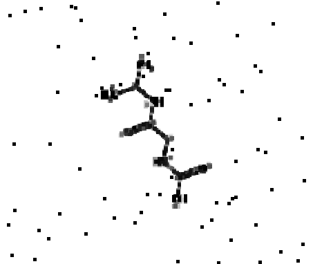 CC(C)NC(=O)CNC(=O)O